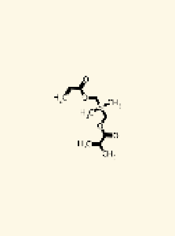 C=CC(=O)OC[Si](C)(C)COC(=O)C(=C)C